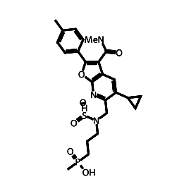 CNC(=O)c1c(-c2ccc(C)cc2)oc2nc(CN(CCCP(C)(=O)O)[SH](=O)=O)c(C3CC3)cc12